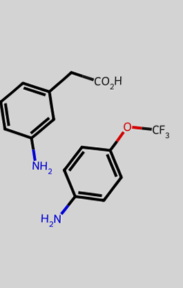 Nc1ccc(OC(F)(F)F)cc1.Nc1cccc(CC(=O)O)c1